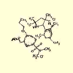 CCCOc1ccc(S(=O)(=O)N(C)C)cc1[CH]=[Ru+2].Cc1cc(C)c(C2NC(C)(C)CC2(C)C)c(C)c1.[Cl-].[Cl-]